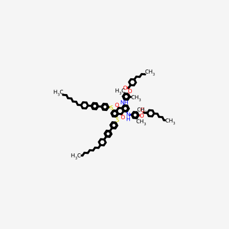 CCCCCCCCC1CCC(c2ccc(-c3ccc(Sc4ccc(Sc5ccc(-c6ccc(C7CCC(CCCCCCCC)CC7)cc6)cc5)c5c4C(=O)c4c(Nc6cc(C)c(OC(=O)C7CCC(CCCCC)CC7)c(C)c6)ccc(Nc6cc(C)c(OC(=O)C7CCC(CCCCC)CC7)c(C)c6)c4C5=O)cc3)cc2)CC1